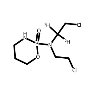 [2H]C([2H])(CCl)N(CCCl)P1(=O)NCCCO1